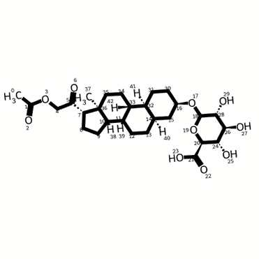 CC(=O)OCC(=O)[C@H]1CC[C@H]2[C@@H]3CC[C@@H]4C[C@H](OC5O[C@H](C(=O)O)[C@@H](O)[C@H](O)[C@H]5O)CC[C@@H]4[C@H]3CC[C@]12C